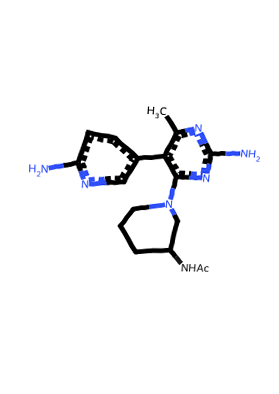 CC(=O)NC1CCCN(c2nc(N)nc(C)c2-c2ccc(N)nc2)C1